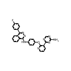 Nc1ncnc(-c2cccnc2Oc2ccc(Nc3nnc(-c4ccc(F)cc4)c4ccccc34)cc2)n1